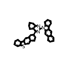 c1ccc2cc3c(cc2c1)c1ccccc1n3-c1nc(-c2ccc3cc4sc5ccccc5c4cc3c2)c2ccccc2n1